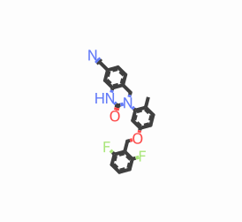 Cc1ccc(OCc2c(F)cccc2F)cc1N1Cc2ccc(C#N)cc2NC1=O